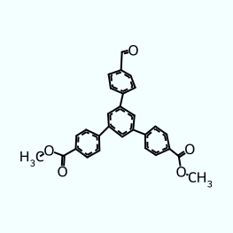 COC(=O)c1ccc(-c2cc(-c3ccc(C=O)cc3)cc(-c3ccc(C(=O)OC)cc3)c2)cc1